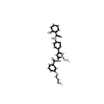 Cn1nc(-c2ccc(NC(=O)c3ccccc3Cl)cc2)cc1NC(=O)c1cccc(OCCN)c1